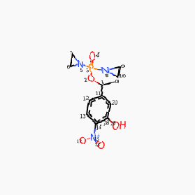 CC(OP(=O)(N1CC1)N1CC1)c1ccc([N+](=O)[O-])c(O)c1